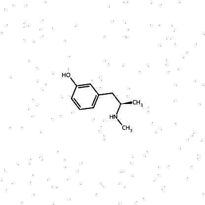 CN[C@H](C)Cc1cccc(O)c1